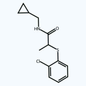 CC(Sc1ccccc1Cl)C(=O)NCC1CC1